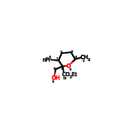 CCCC1CCC(C)OC1(CO)C(=O)OCC